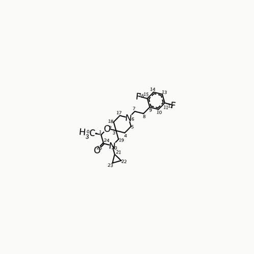 C[C@H]1OC2(CCN(CCc3cc(F)ccc3F)CC2)CN(C2CC2)C1=O